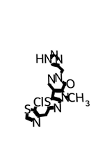 Cn1c2nc(Cc3ncsc3Cl)sc2c2cnn(Cc3c[nH]nn3)c(=O)c21